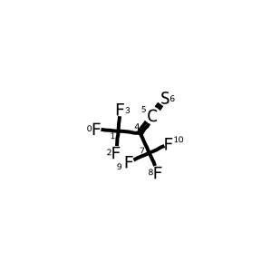 FC(F)(F)C(=C=S)C(F)(F)F